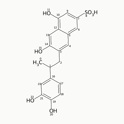 CC(Cc1cc2cc(S(=O)(=O)O)cc(O)c2cc1O)c1ccc(O)c(O)c1